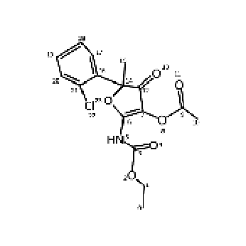 CCOC(=O)NC1=C(OC(C)=O)C(=O)C(C)(c2ccccc2Cl)O1